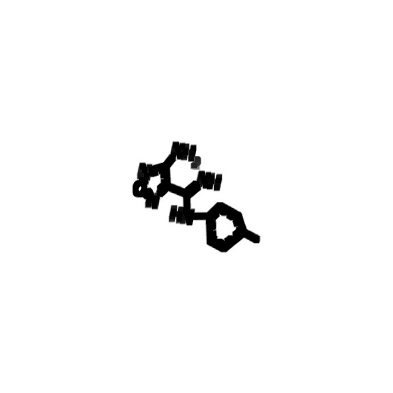 Cc1ccc(NC(=N)c2nonc2N)cc1